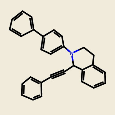 C(#CC1c2ccccc2CCN1c1ccc(-c2ccccc2)cc1)c1ccccc1